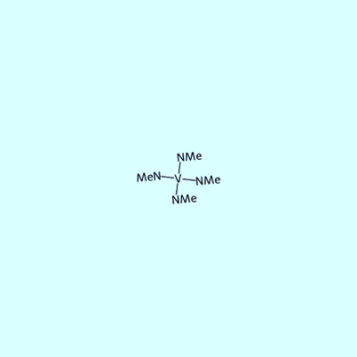 C[NH][V]([NH]C)([NH]C)[NH]C